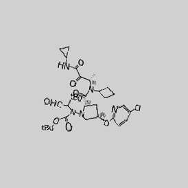 C[C@@H](C(=O)C(=O)NC1CC1)N(C(=O)[C@@H]1C[C@@H](Oc2ccc(Cl)cn2)CN1N(C(=O)OC(C)(C)C)C(C=O)C(C)(C)C)C1CCC1